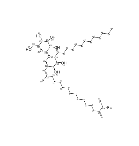 C=C(CCCCCCCCCCCC/C(F)=C\[C@@H](COC1OC(CO)C(O)C(O)C1O)[C@H](O)[C@H](O)CCCCCCCCCCCCCC)C(F)F